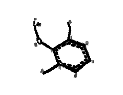 Cc1cccc(C)c1[O][La]